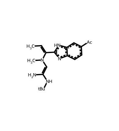 C/C=C(/c1nc2ccc(C(C)=O)cc2[nH]1)N(C)/C=C(\N)NC(C)(C)C